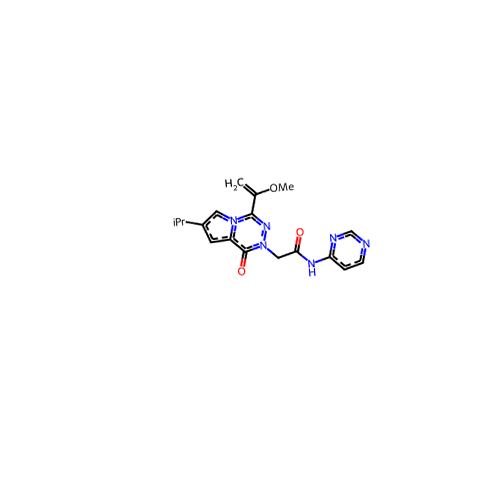 C=C(OC)c1nn(CC(=O)Nc2ccncn2)c(=O)c2cc(C(C)C)cn12